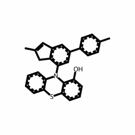 CC1=Cc2cc(-c3ccc(C)cc3)cc(N3c4ccccc4Sc4cccc(O)c43)c2C1